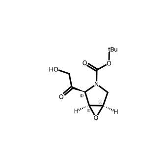 CC(C)(C)OC(=O)N1C[C@H]2O[C@H]2[C@H]1C(=O)CO